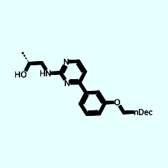 CCCCCCCCCCCOc1cccc(-c2ccnc(NC[C@@H](C)O)n2)c1